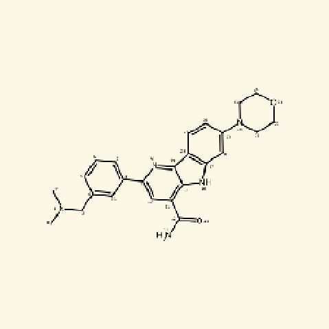 CN(C)Cc1cccc(-c2cc(C(N)=O)c3[nH]c4cc(N5CCOCC5)ccc4c3n2)c1